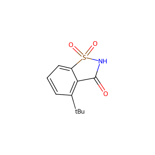 CC(C)(C)c1cccc2c1C(=O)NS2(=O)=O